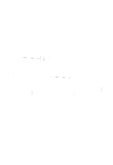 CC(O)[NH2+]C(C)O.F[B-](F)(F)F